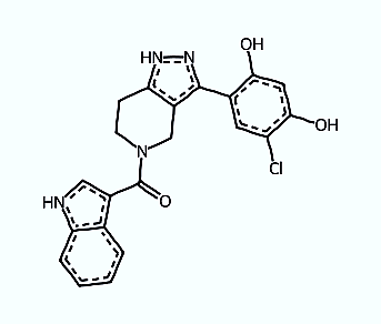 O=C(c1c[nH]c2ccccc12)N1CCc2[nH]nc(-c3cc(Cl)c(O)cc3O)c2C1